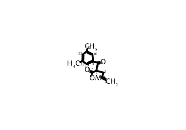 C=CCC(C(=O)OC)C(=O)c1cc(C)cc(C)c1